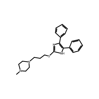 CN1CCN(CCCSc2nc(-c3ccccc3)c(-c3ccccc3)[nH]2)CC1